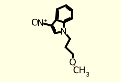 [C-]#[N+]c1cn(CCCOC)c2ccccc12